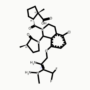 C[C@@H]1CCN(C2c3c(OC/C(N)=C(\C(F)F)N(C)N)ccc(Cl)c3CCN2C(=O)[C@@H]2CCC[C@]2(C)C(=O)O)C1=O